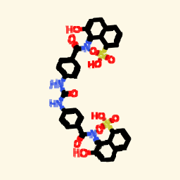 O=C(Nc1ccc(C(=O)N=C2C(O)=CCC3=CC=CC(S(=O)(=O)O)C32)cc1)Nc1ccc(C(=O)N=C2C(O)=CCC3=CC=CC(S(=O)(=O)O)C32)cc1